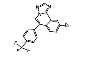 FC(F)(F)c1ccc(-c2cn3ncnc3c3cc(Br)ccc23)cc1